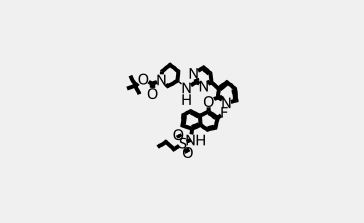 CCCS(=O)(=O)Nc1cccc2c(Oc3ncccc3-c3ccnc(N[C@H]4CCCN(C(=O)OC(C)(C)C)C4)n3)c(F)ccc12